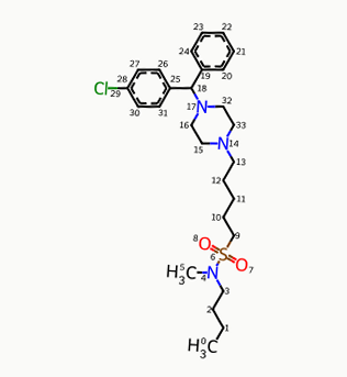 CCCCN(C)S(=O)(=O)CCCCCN1CCN(C(c2ccccc2)c2ccc(Cl)cc2)CC1